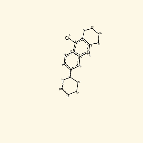 Clc1c2c(nc3cc(C4CCCCC4)ccc13)CCCC2